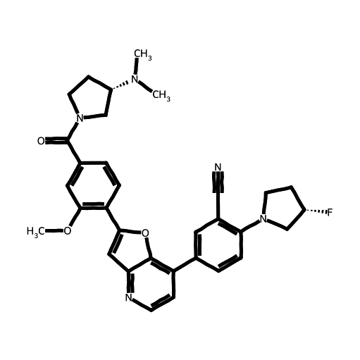 COc1cc(C(=O)N2CC[C@H](N(C)C)C2)ccc1-c1cc2nccc(-c3ccc(N4CC[C@H](F)C4)c(C#N)c3)c2o1